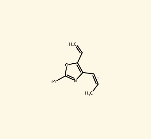 C=Cc1oc(C(C)C)nc1/C=C\C